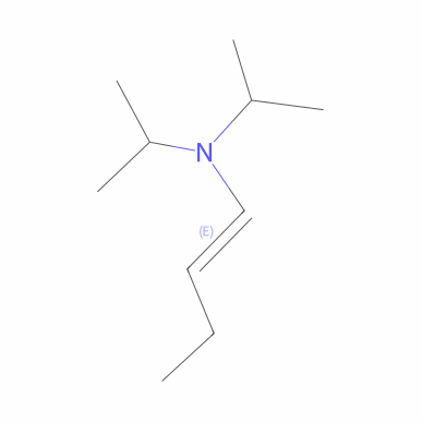 CC/C=C/N(C(C)C)C(C)C